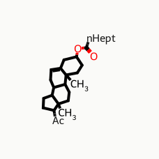 CCCCCCCC(=O)OC1CCC2(C)C(=CCC3C2CCC2(C)C(C(C)=O)CCC32)C1